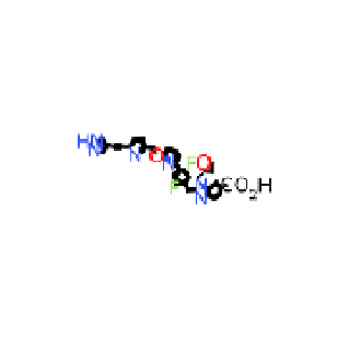 O=C(O)c1ccc2nc(Cc3cc(F)c(-c4cccc(OCc5ccc(C#Cc6cn[nH]c6)nc5)n4)cc3F)n(C[C@@H]3CCO3)c2c1